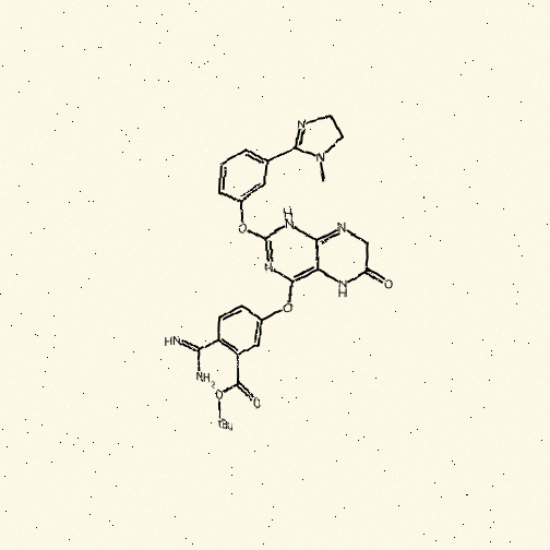 CN1CCN=C1c1cccc(OC2=NC(Oc3ccc(C(=N)N)c(C(=O)OC(C)(C)C)c3)=C3NC(=O)CN=C3N2)c1